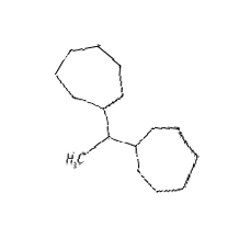 C[C](C1CCCCCC1)C1CCCCCC1